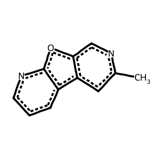 Cc1cc2c(cn1)oc1ncccc12